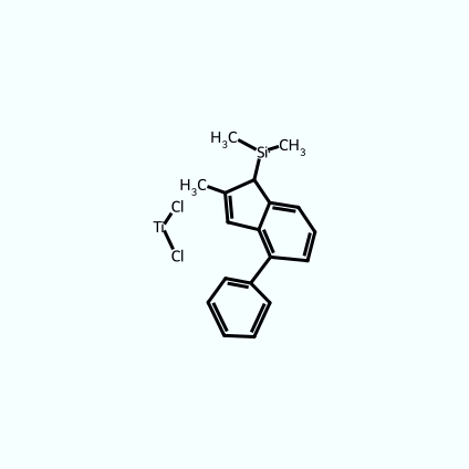 CC1=Cc2c(-c3ccccc3)cccc2C1[Si](C)C.[Cl][Ti][Cl]